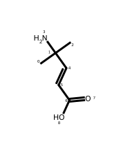 CC(C)(N)/C=C/C(=O)O